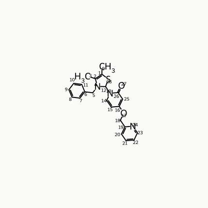 CC1=C(C)N(Cc2ccccc2)C(n2ccc(OCc3ccccn3)cc2=O)S1